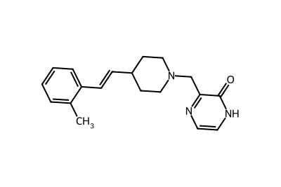 Cc1ccccc1C=CC1CCN(Cc2ncc[nH]c2=O)CC1